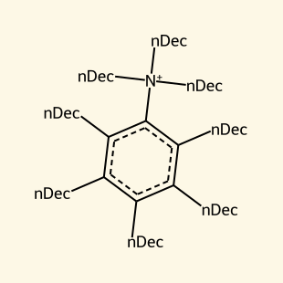 CCCCCCCCCCc1c(CCCCCCCCCC)c(CCCCCCCCCC)c([N+](CCCCCCCCCC)(CCCCCCCCCC)CCCCCCCCCC)c(CCCCCCCCCC)c1CCCCCCCCCC